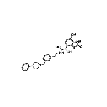 O=c1[nH]c2c(O)ccc(C(O)C(O)NCCc3cccc(CN4CCC(c5ccccc5)CC4)c3)c2s1